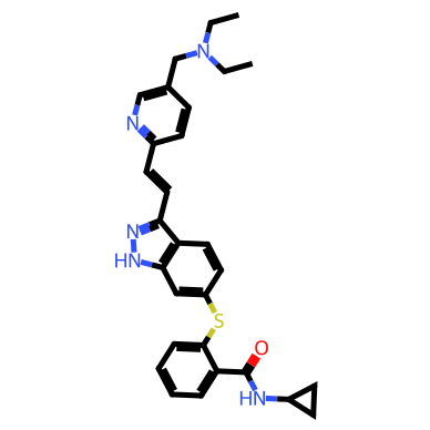 CCN(CC)Cc1ccc(/C=C/c2n[nH]c3cc(Sc4ccccc4C(=O)NC4CC4)ccc23)nc1